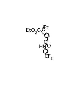 CCOC(=O)C(Cc1cccc(COC(=O)Nc2ccc(C(F)(F)F)cc2)c1)OC(C)C